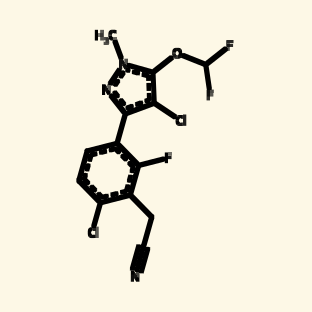 Cn1nc(-c2ccc(Cl)c(CC#N)c2F)c(Cl)c1OC(F)F